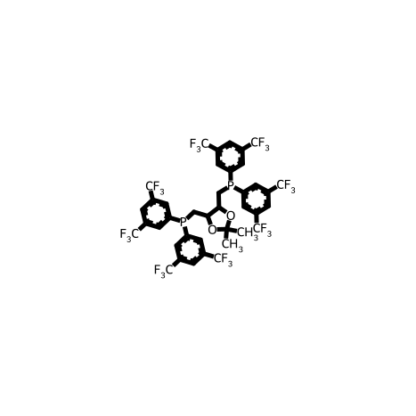 CC1(C)OC(CP(c2cc(C(F)(F)F)cc(C(F)(F)F)c2)c2cc(C(F)(F)F)cc(C(F)(F)F)c2)C(CP(c2cc(C(F)(F)F)cc(C(F)(F)F)c2)c2cc(C(F)(F)F)cc(C(F)(F)F)c2)O1